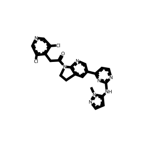 Cn1nccc1Nc1nccc(-c2cnc3c(c2)CCN3C(=O)Cc2c(Cl)cncc2Cl)n1